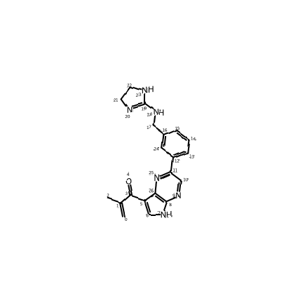 C=C(C)C(=O)c1c[nH]c2ncc(-c3cccc(CNC4=NCCN4)c3)nc12